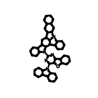 c1ccc2cc3c(cc2c1)c1cc2c4ccccc4n(-c4nc(-n5c6ccccc6c6ccccc65)c5oc6ccccc6c5n4)c2c2c4ccccc4n3c12